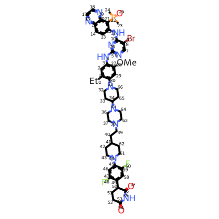 CCc1cc(Nc2ncc(Br)c(Nc3ccc4nccnc4c3P(C)(C)=O)n2)c(OC)cc1N1CCC(N2CCN(CCC3CCN(c4cc(F)c(C5CCC(=O)NC5=O)cc4F)CC3)CC2)CC1